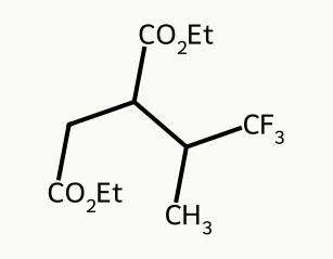 CCOC(=O)CC(C(=O)OCC)C(C)C(F)(F)F